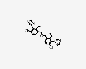 CCc1c(COCc2ccc(Cl)c(-n3cncn3)c2CC)ccc(Cl)c1-n1cncn1